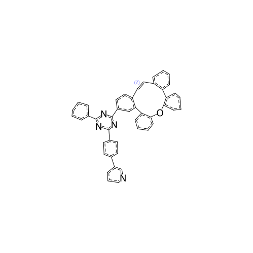 C1=C\c2ccc(-c3nc(-c4ccccc4)nc(-c4ccc(-c5cccnc5)cc4)n3)cc2-c2ccccc2Oc2ccccc2-c2ccccc2/1